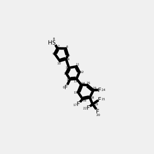 Fc1cc(-c2ccc(S)cc2)ccc1-c1cc(F)c(C(F)(F)F)c(F)c1